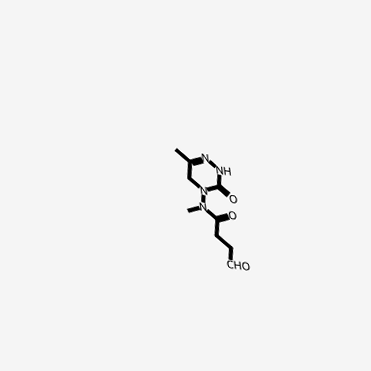 CC1=NNC(=O)N(N(C)C(=O)CCC=O)C1